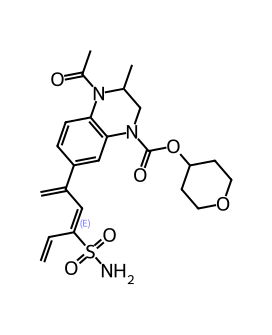 C=C/C(=C\C(=C)c1ccc2c(c1)N(C(=O)OC1CCOCC1)CC(C)N2C(C)=O)S(N)(=O)=O